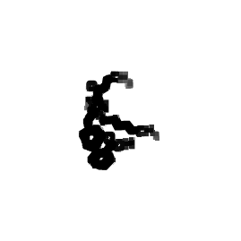 CCCCCCn1nc(C(=O)CCC)nc1Cc1ccc(-c2ccccc2C(=O)O)cc1